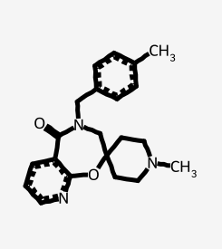 Cc1ccc(CN2CC3(CCN(C)CC3)Oc3ncccc3C2=O)cc1